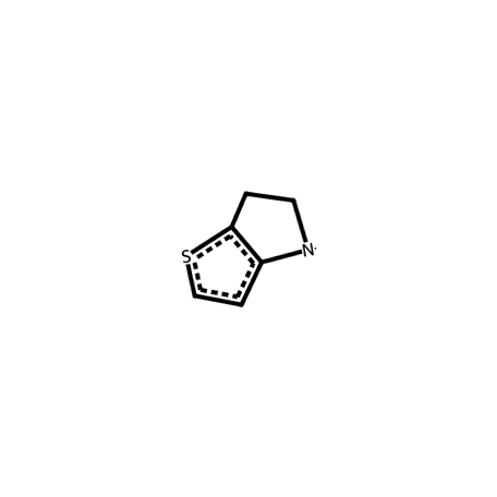 c1cc2c(s1)CC[N]2